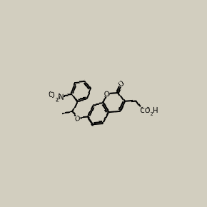 CC(Oc1ccc2cc(CC(=O)O)c(=O)oc2c1)c1ccccc1[N+](=O)[O-]